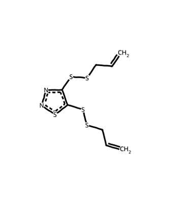 C=CCSSc1nnsc1SSCC=C